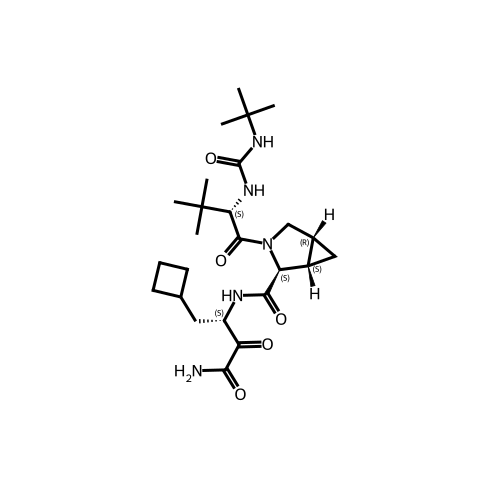 CC(C)(C)NC(=O)N[C@H](C(=O)N1C[C@@H]2C[C@@H]2[C@H]1C(=O)N[C@@H](CC1CCC1)C(=O)C(N)=O)C(C)(C)C